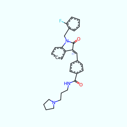 O=C(NCCCN1CCCC1)c1ccc(/C=C2/C(=O)N(Cc3ccccc3F)c3ccccc32)cc1